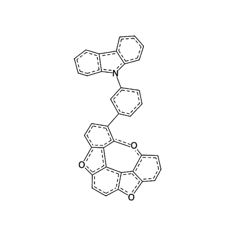 c1cc(-c2ccc3oc4ccc5oc6cccc7oc2c3c4c5c67)cc(-n2c3ccccc3c3ccccc32)c1